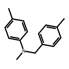 Cc1ccc(CN(C)c2ccc(C)cc2)cc1